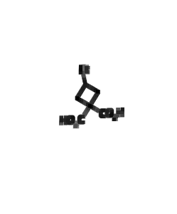 CCC1CC(C(=O)O)(C(=O)O)C1